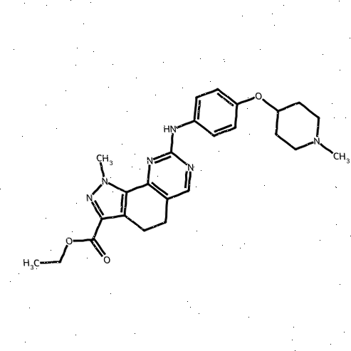 CCOC(=O)c1nn(C)c2c1CCc1cnc(Nc3ccc(OC4CCN(C)CC4)cc3)nc1-2